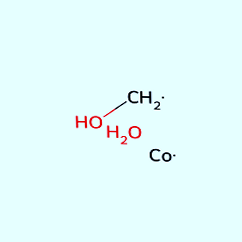 O.[CH2]O.[Co]